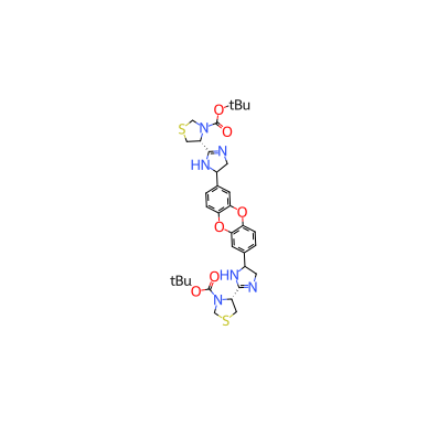 CC(C)(C)OC(=O)N1CSC[C@H]1C1=NCC(c2ccc3c(c2)Oc2ccc(C4CN=C([C@@H]5CSCN5C(=O)OC(C)(C)C)N4)cc2O3)N1